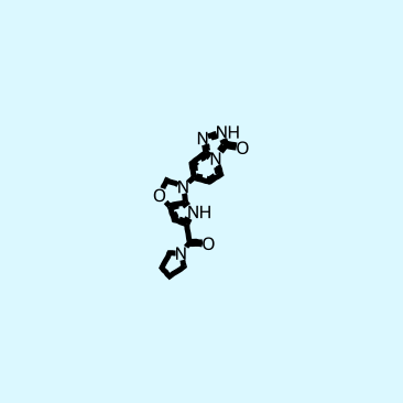 O=C(c1cc2c([nH]1)N(c1ccn3c(=O)[nH]nc3c1)CO2)N1CCCC1